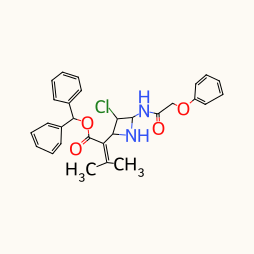 CC(C)=C(C(=O)OC(c1ccccc1)c1ccccc1)C1NC(NC(=O)COc2ccccc2)C1Cl